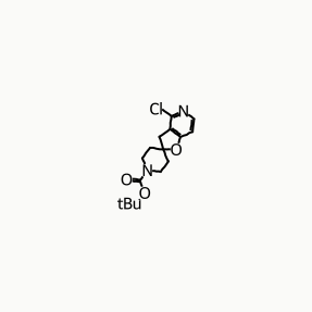 CC(C)(C)OC(=O)N1CCC2(CC1)Cc1c(ccnc1Cl)O2